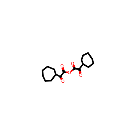 O=C(OC(=O)C(=O)C1CCCCCC1)C(=O)C1CCCCCC1